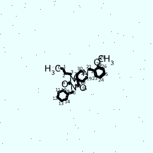 CCCCN1C(=O)N(CC2CCCCC2)C(=O)C12CCN(Cc1ccccc1OC)CC2